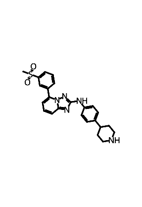 CS(=O)(=O)c1cccc(-c2cccc3nc(Nc4ccc(C5CCNCC5)cc4)nn23)c1